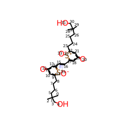 CC(C)(CO)CCCCc1cc(=O)cc(/C=C/c2cc(=O)cc(CCCCC(C)(C)CO)[s+]2[O-])[s+]1[O-]